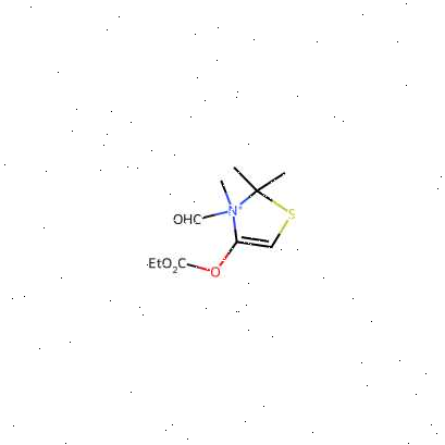 CCOC(=O)OC1=CSC(C)(C)[N+]1(C)C=O